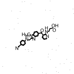 Cn1c(CNc2ccc(C#N)cc2)nc2cc(C(=O)c3cccnc3NCCC(=O)O)ccc21